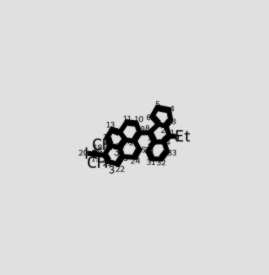 CCc1c2ccccc2c(-c2ccc3ccc4c(C(C)(C)I)ccc5ccc2c3c54)c2ccccc12